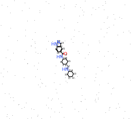 O=C(N[C@H]1CC[C@H](CNC2CCCCC2)CC1)c1ccc2[nH]ncc2c1